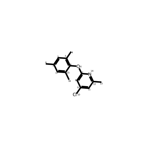 Cc1cc(C)c(Oc2cc(Cl)cc(C)n2)c(C)c1